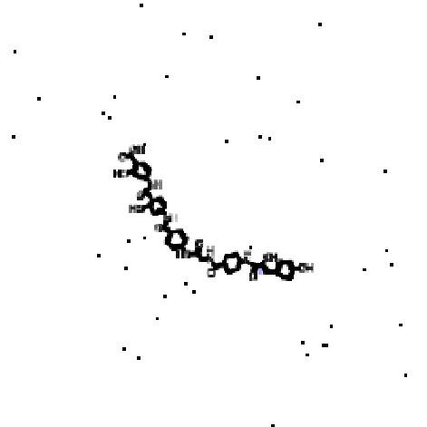 C/C(=C\c1ccc(O)cc1)C(=O)Nc1ccc(C(=O)NCC(=O)Nc2ccc(C(=O)Nc3ccc(C(=O)Nc4ccc(C(=O)O)c(O)c4)c(O)c3)cc2)cc1